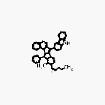 C=CC/C=C\c1ccc2c(c1C)C(c1ccccc1)=C1C2=C(c2ccc3[nH]c4ccccc4c3c2)c2ccc3ccccc3c21